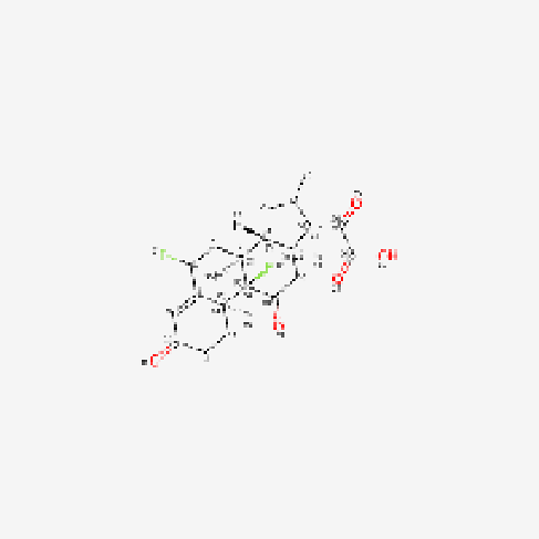 CC1C[C@H]2[C@@H]3CC(F)C4=CC(=O)CC[C@]4(C)[C@@]3(F)C(=O)C[C@]2(C)[C@H]1C(=O)C(=O)O